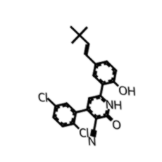 CC(C)(C)C=Cc1ccc(O)c(-c2cc(-c3cc(Cl)ccc3Cl)c(C#N)c(=O)[nH]2)c1